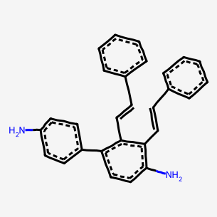 Nc1ccc(-c2ccc(N)c(C=Cc3ccccc3)c2C=Cc2ccccc2)cc1